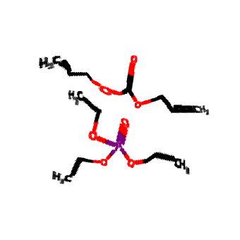 C=CCOC(=O)OCC=C.CCOP(=O)(OCC)OCC